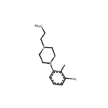 COCCN1CCN(c2cccc(C(C)=O)c2C)CC1